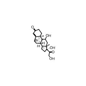 C[C@]12CCC(=O)C=C1CC[C@H]1[C@@H]3CC[C@](O)(C(=O)CO)[C@@]3(C)CC(O)[C@@]12Br